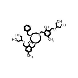 Cc1cc(COC(CO)CO)c(O)c(CN2CCCN(Cc3cc(C)cc(COC(CO)CO)c3O)CCN(Cc3ccccc3)CC2)c1